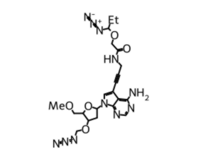 CCC(N=[N+]=[N-])OCC(=O)NCC#Cc1cn(C2CC(OCN=[N+]=[N-])C(COC)O2)c2ncnc(N)c12